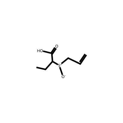 C=CC[S+]([O-])C(CC)C(=O)O